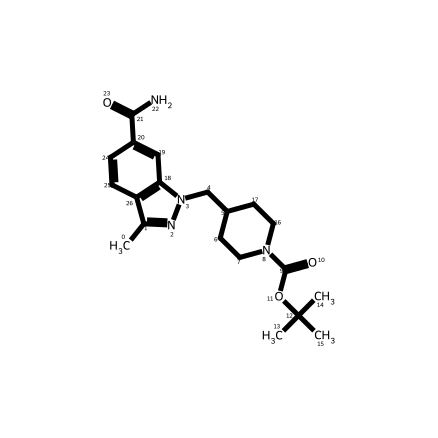 Cc1nn(CC2CCN(C(=O)OC(C)(C)C)CC2)c2cc(C(N)=O)ccc12